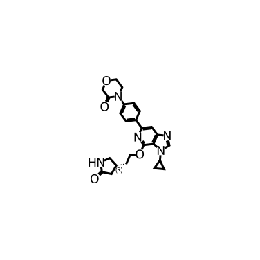 O=C1C[C@@H](CCOc2nc(-c3ccc(N4CCOCC4=O)cc3)cc3ncn(C4CC4)c23)CN1